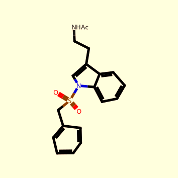 CC(=O)NCCc1cn(S(=O)(=O)Cc2ccccc2)c2ccccc12